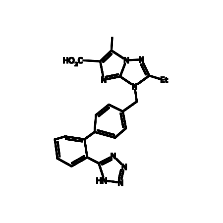 CCc1nn2c(C)c(C(=O)O)nc2n1Cc1ccc(-c2ccccc2-c2nnn[nH]2)cc1